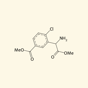 COC(=O)c1ccc(Cl)c(C(N)C(=O)OC)c1